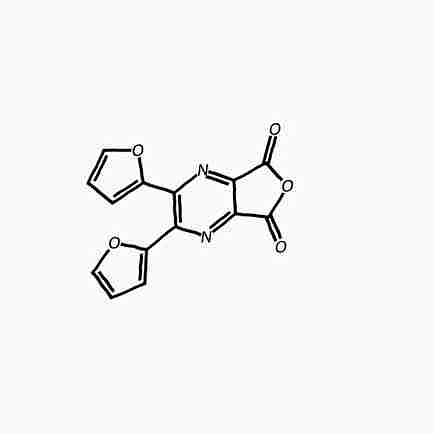 O=C1OC(=O)c2nc(-c3ccco3)c(-c3ccco3)nc21